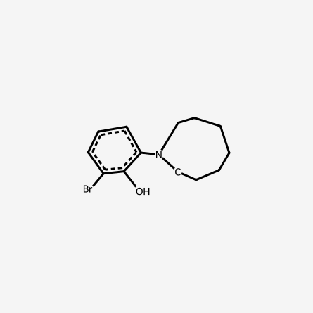 Oc1c(Br)cccc1N1CCCCCCC1